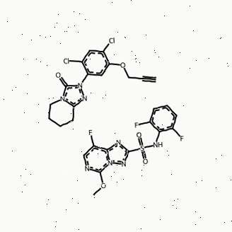 C#CCOc1cc(-n2nc3n(c2=O)CCCC3)c(Cl)cc1Cl.COc1ncc(F)c2nc(S(=O)(=O)Nc3c(F)cccc3F)nn12